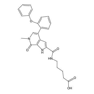 Cn1cc(-c2ccccc2Oc2ccccc2)c2cc(C(=O)NCCCCC(=O)O)[nH]c2c1=O